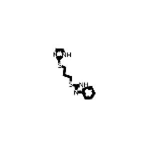 [CH](CSc1ncc[nH]1)CSc1nc2ccccc2[nH]1